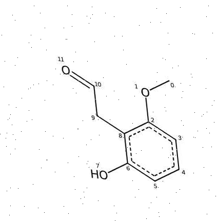 COc1cccc(O)c1CC=O